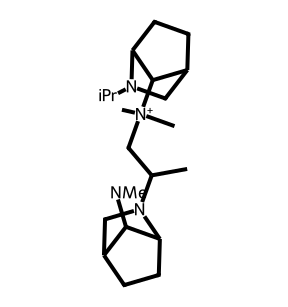 CNC1C2CCC1N(C(C)C[N+](C)(C)C1C3CCC1N(C(C)C)C3)C2